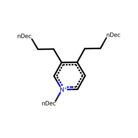 CCCCCCCCCCCCc1cc[n+](CCCCCCCCCC)cc1CCCCCCCCCCCC